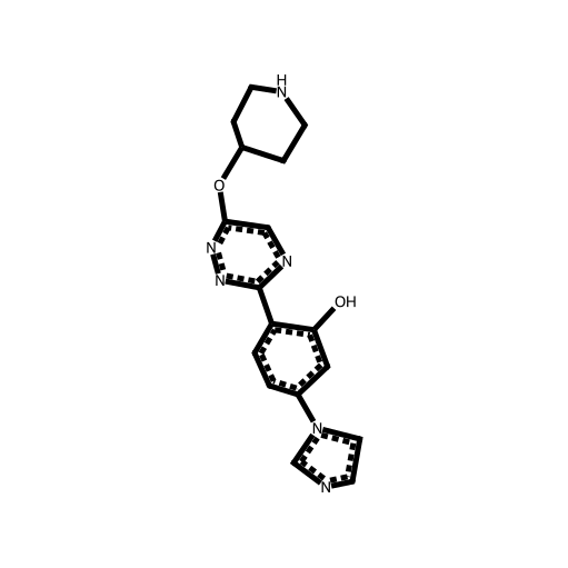 Oc1cc(-n2ccnc2)ccc1-c1ncc(OC2CCNCC2)nn1